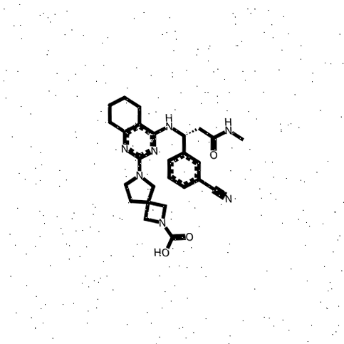 CNC(=O)C[C@@H](Nc1nc(N2CCC3(CN(C(=O)O)C3)C2)nc2c1CCCC2)c1cccc(C#N)c1